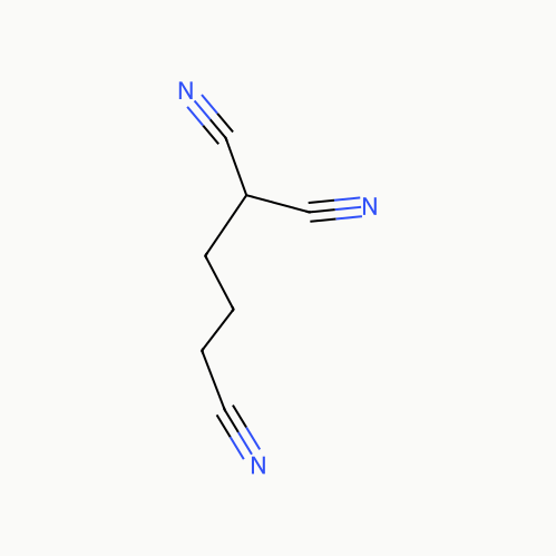 N#CCCCC(C#N)C#N